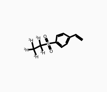 [2H]C([2H])([2H])C([2H])([2H])S(=O)(=O)c1ccc(C=C)cc1